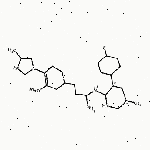 COC1=C(N2CNC(C)C2)CCC(CCC(N)NC2NC[C@H](C)C[C@@H]2C2CCC(F)CC2)C1